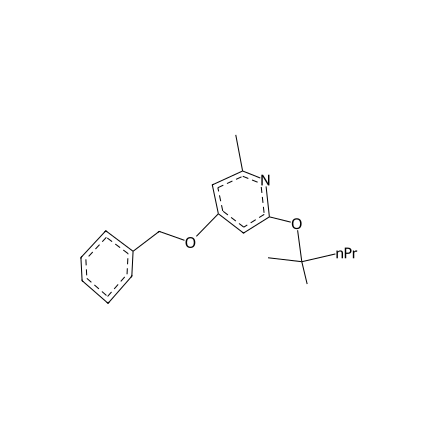 CCCC(C)(C)Oc1cc(OCc2ccccc2)cc(C)n1